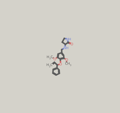 C=CC(Oc1c(OC)cc(CNC2CCNC2=O)cc1OC)c1ccccc1